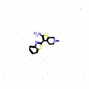 CN1CCc2c(sc(N)c2-c2nc3ccccc3s2)C1